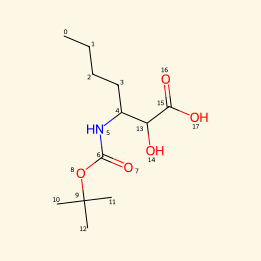 CCCCC(NC(=O)OC(C)(C)C)C(O)C(=O)O